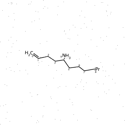 C=CCCCCCCC(C)C.N